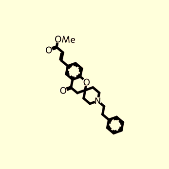 COC(=O)C=Cc1ccc2c(c1)C(=O)CC1(CCN(CCc3ccccc3)CC1)O2